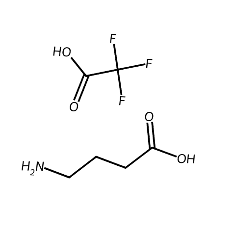 NCCCC(=O)O.O=C(O)C(F)(F)F